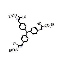 CCOC(=O)/C(C#N)=C/c1ccc(N(c2ccc(/C=C(\C#N)C(=O)OCC)cc2)c2ccc(/C=C(\C#N)C(=O)OCC)cc2)cc1